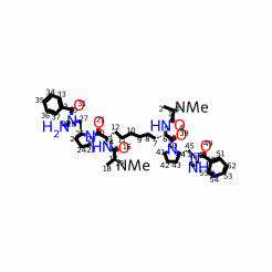 CN[C@@H](C)C(=O)N[C@@H](CCCCCC[C@H](NC(=O)[C@H](C)NC)C(=O)N1CCC[C@H]1CN(N)C(=O)c1ccccc1)C(=O)N1CCC[C@H]1CN(N)C(=O)c1ccccc1